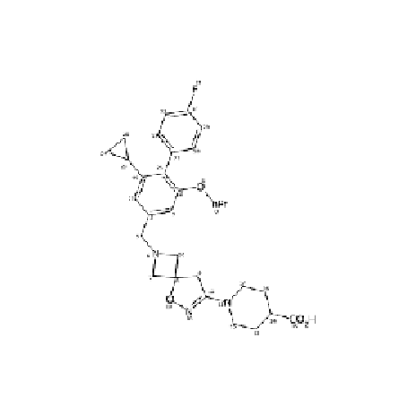 CCCOc1cc(CN2CC3(CC(N4CCC(C(=O)O)CC4)=NO3)C2)cc(C2CC2)c1-c1ccc(F)cc1